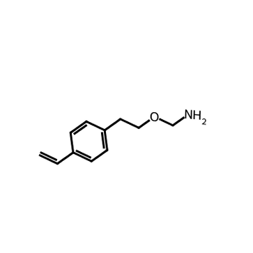 C=Cc1ccc(CCOCN)cc1